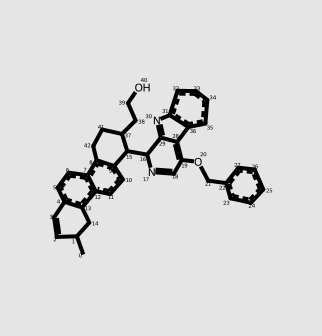 CC1C=Cc2ccc3c4c(ccc3c2C1)C(C1N=CC(OCc2ccccc2)=C2C1=Nc1c[c]ccc12)C(CCO)CC4